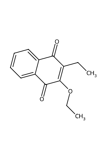 CCOC1=C(CC)C(=O)c2ccccc2C1=O